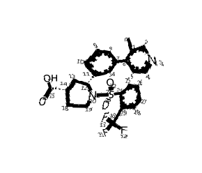 Cc1cnccc1-c1cccc([C@H]2C[C@@H](C(=O)O)CCN2S(=O)(=O)c2ccccc2C(F)(F)F)c1